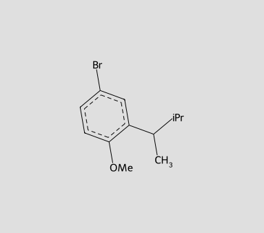 COc1ccc(Br)cc1C(C)C(C)C